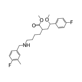 COC(=O)C(CCCCNCc1ccc(F)c(C)c1)CC(OC)c1ccc(F)cc1